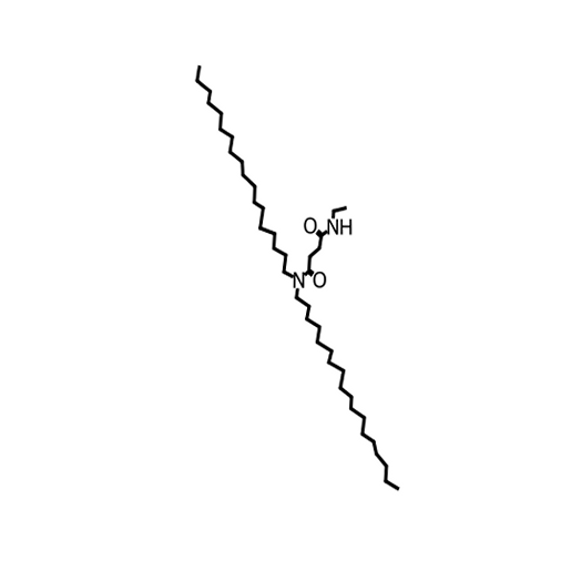 CCCCCCCCCCCCCCCCCCN(CCCCCCCCCCCCCCCCCC)C(=O)CCC(=O)NCC